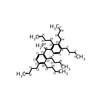 CCCCc1ccc(C(P)c2ccc(CCCC)c(CCCC)c2CCCC)c(CCCC)c1CCCC